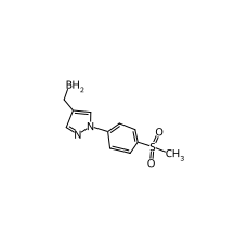 BCc1cnn(-c2ccc(S(C)(=O)=O)cc2)c1